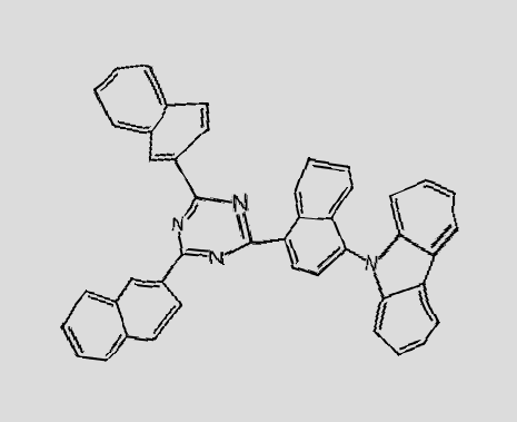 c1ccc2cc(-c3nc(-c4ccc5ccccc5c4)nc(-c4ccc(-n5c6ccccc6c6ccccc65)c5ccccc45)n3)ccc2c1